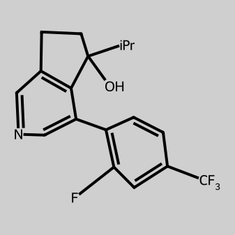 CC(C)C1(O)CCc2cncc(-c3ccc(C(F)(F)F)cc3F)c21